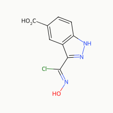 O=C(O)c1ccc2[nH]nc(C(Cl)=NO)c2c1